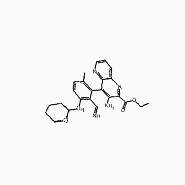 CCOC(=O)c1nc2cccnc2c(-c2c(C)ccc(NC3CCCCO3)c2C=N)c1N